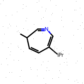 CC1C=CC(C(C)C)=CN=C1